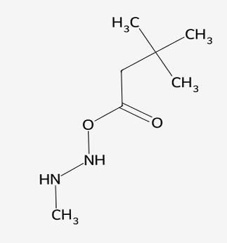 CNNOC(=O)CC(C)(C)C